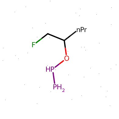 CCCC(CF)OPP